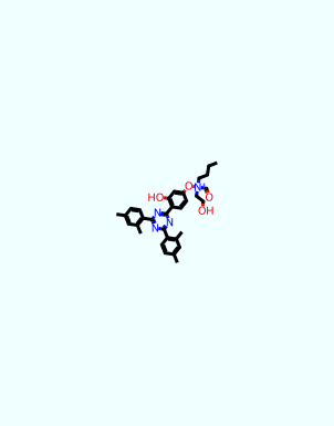 CCCC[N+](C=O)(CCO)Oc1ccc(-c2nc(-c3ccc(C)cc3C)nc(-c3ccc(C)cc3C)n2)c(O)c1